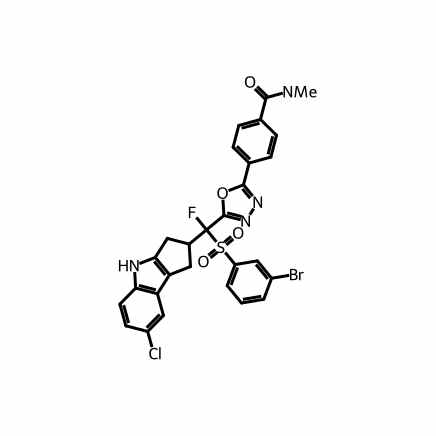 CNC(=O)c1ccc(-c2nnc(C(F)(C3Cc4[nH]c5ccc(Cl)cc5c4C3)S(=O)(=O)c3cccc(Br)c3)o2)cc1